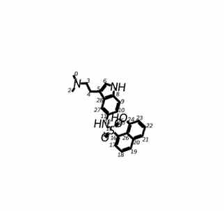 CN(C)CCc1c[nH]c2ccc(NS(=O)(=O)c3cccc4cccc(O)c34)cc12